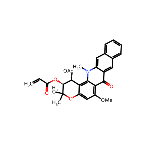 C=CC(=O)O[C@H]1[C@@H](OC(C)=O)c2c(cc(OC)c3c(=O)c4cc5ccccc5cc4n(C)c23)OC1(C)C